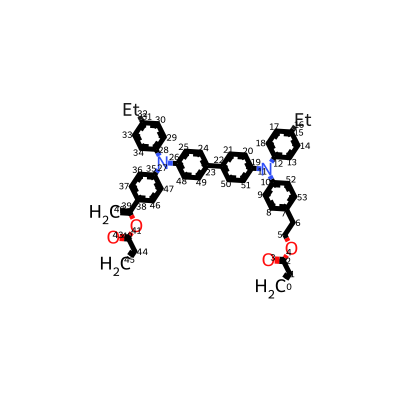 C=CC(=O)OCCc1ccc(N(c2ccc(CC)cc2)c2ccc(-c3ccc(N(c4ccc(CC)cc4)c4ccc(C(=C)OC(=O)C=C)cc4)cc3)cc2)cc1